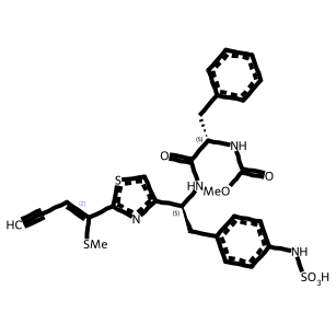 C#C/C=C(\SC)c1nc([C@H](Cc2ccc(NS(=O)(=O)O)cc2)NC(=O)[C@H](Cc2ccccc2)NC(=O)OC)cs1